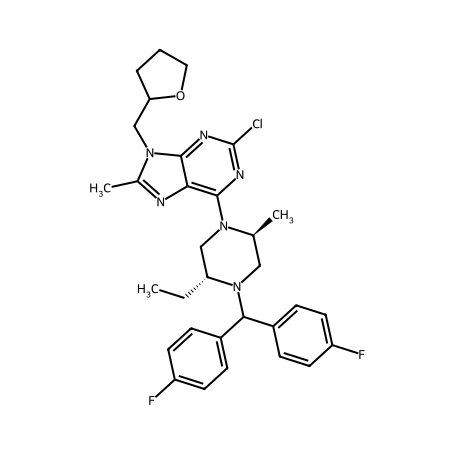 CC[C@@H]1CN(c2nc(Cl)nc3c2nc(C)n3CC2CCCO2)[C@@H](C)CN1C(c1ccc(F)cc1)c1ccc(F)cc1